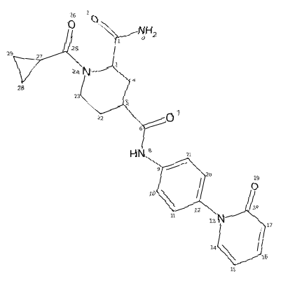 NC(=O)C1[CH]C(C(=O)Nc2ccc(-n3ccccc3=O)cc2)CCN1C(=O)C1CC1